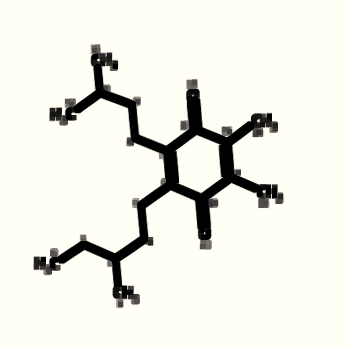 CCC(C)CCC1=C(CCC(C)C)C(=O)C(C)=C(C)C1=O